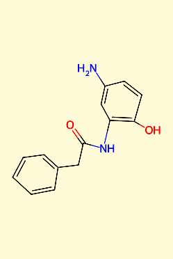 Nc1ccc(O)c(NC(=O)Cc2ccccc2)c1